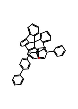 c1ccc(-c2ccc(N(c3ccc(-c4ccccc4)cc3)c3cccc4c3C3(c5ccccc5Oc5ccccc53)c3ccccc3-4)cc2)cc1